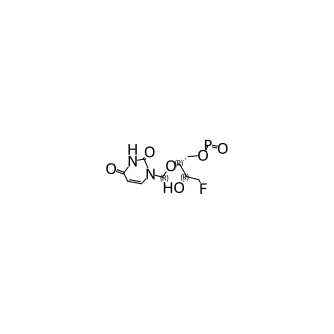 C[C@@H](O[C@H](COP=O)[C@@H](O)CF)n1ccc(=O)[nH]c1=O